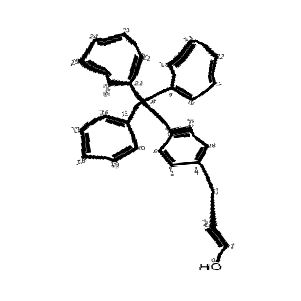 O/C=C/Cc1ccc(C(c2ccccc2)(c2ccccc2)c2ccccc2)cc1